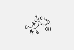 CC1(C)C([C@@H](Br)C(Br)(Br)Br)[C@H]1C(=O)O